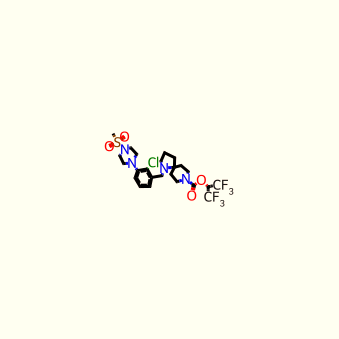 CS(=O)(=O)N1CCN(c2cccc(CN3CCCC34CCN(C(=O)OC(C(F)(F)F)C(F)(F)F)CC4)c2Cl)CC1